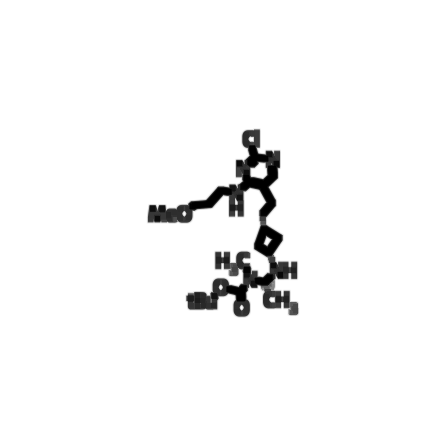 COCCCNc1nc(Cl)ncc1CC[C@H]1C[C@@H](N[C@H](C)N(C)C(=O)OC(C)(C)C)C1